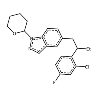 CCC(Cc1ccc2c(cnn2C2CCCCO2)c1)c1ccc(F)cc1Cl